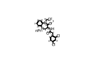 CCCN1CC(NC(=O)Cc2ccc(Cl)cc2Cl)C(=O)N(CC(F)(F)F)c2ccccc21